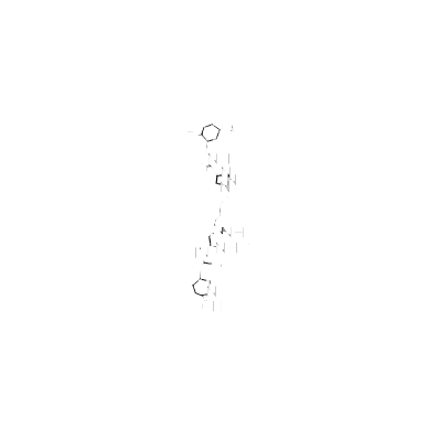 Cc1ccc(CC(=O)N/C(N)=C/N(N)CCCCn2cc(C(=O)NCc3cc(OC(F)(F)F)ccc3F)nn2)cn1